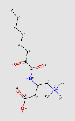 CCCCCCC(=O)C(=O)NC(CC(=O)O)C[N+](C)(C)C